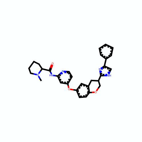 CN1CCCCC1C(=O)Nc1cc(Oc2ccc3c(c2)CC(c2nc(-c4ccccc4)c[nH]2)CO3)ccn1